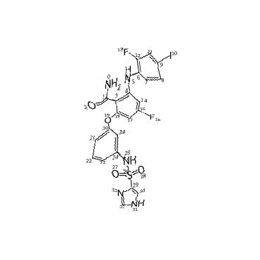 NC(=O)c1c(Nc2ccc(I)cc2F)cc(F)cc1Oc1cccc(NS(=O)(=O)c2c[nH]cn2)c1